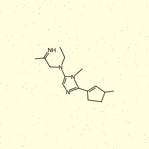 CCN(CC(C)=N)c1cnc(C2=CC(C)CC2)n1C